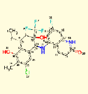 CC[C@@H]1C[C@](O)(C(F)(F)F)[C@@H](Nc2cc(F)cc3[nH]c(=O)ccc23)c2cc(Cl)c(C)c(O)c21